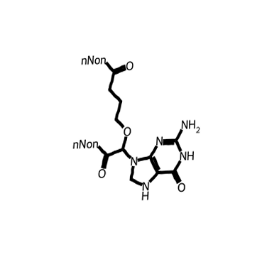 CCCCCCCCCC(=O)CCCOC(C(=O)CCCCCCCCC)N1CNc2c1nc(N)[nH]c2=O